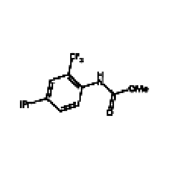 COC(=O)Nc1ccc(C(C)C)cc1C(F)(F)F